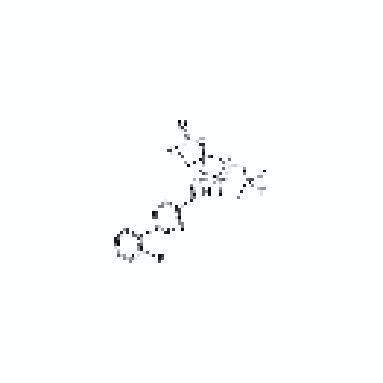 O=C1NCC2(C[C@H]3CC(F)(F)CC[C@H]3[C@@H]2C=Cc2ccc(-c3ccccc3F)cn2)O1